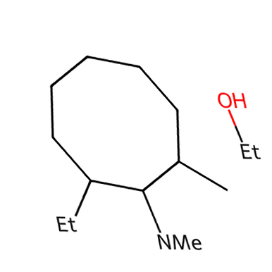 CCC1CCCCCC(C)C1NC.CCO